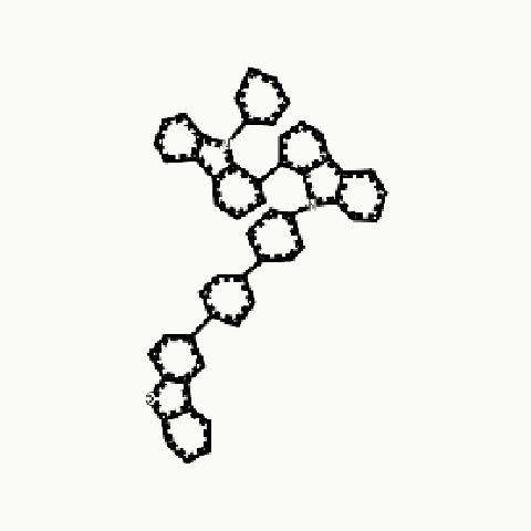 c1ccc(-n2c3ccccc3c3cccc(-c4cccc5c6ccccc6n(-c6ccc(-c7ccc(-c8ccc9oc%10ccccc%10c9c8)cc7)cc6)c45)c32)cc1